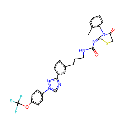 Cc1ccccc1N1C(=O)CS/C1=N\C(=O)NCCCc1cccc(-c2ncn(-c3ccc(OC(F)(F)F)cc3)n2)c1